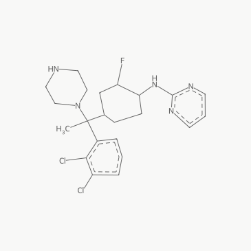 CC(c1cccc(Cl)c1Cl)(C1CCC(Nc2ncccn2)C(F)C1)N1CCNCC1